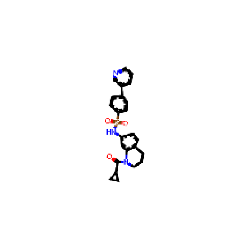 O=C(C1CC1)N1CCCc2ccc(NS(=O)(=O)c3ccc(-c4cccnc4)cc3)cc21